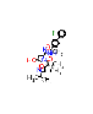 CC(C)c1cc([C@H](C(=O)N2C[C@H](O)CC2C2=NOC(C)(c3ccc(-c4ccccc4F)cc3)N2)C(C)C)on1